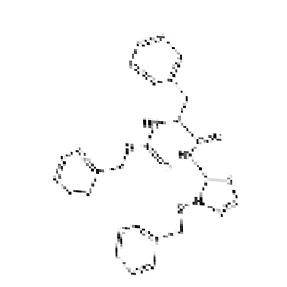 O=C(NC(Cc1ccccc1)C(=O)NC1SC=NN1SCc1ccccc1)OCc1ccccc1